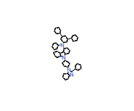 c1ccc(-c2cc(-c3ccccc3)cc(N(c3ccccc3)c3cccc4c3c3ccccc3n4-c3ccc(-n4c(-c5ccccc5)nc5ccccc54)cc3)c2)cc1